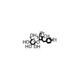 CCc1ccc(Cc2c(O[C@@H]3S[C@H](CO)[C@@H](O)[C@H](O)[C@H]3O)nn(C(C)C)c2C)cc1